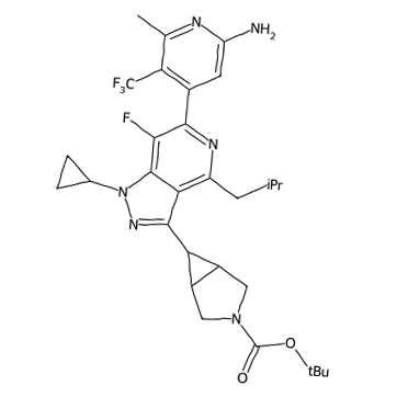 Cc1nc(N)cc(-c2nc(CC(C)C)c3c(C4C5CN(C(=O)OC(C)(C)C)CC54)nn(C4CC4)c3c2F)c1C(F)(F)F